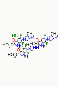 CCn1cc(C(=O)O)c(=O)c2cc(F)c(N3CCNC(C)C3)c(F)c21.CCn1cc(C(=O)O)c(=O)c2cc(F)c(N3CCNC(C)C3)c(F)c21.CCn1cc(C(=O)O)c(=O)c2cc(F)c(N3CCNC(C)C3)c(F)c21.Cl